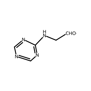 O=[C]CNc1ncncn1